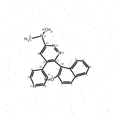 COc1ccc2ccccc2c1-c1nnc(N(C)C)cc1-c1ccncc1